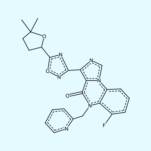 CC1(C)CCC(c2nc(-c3ncn4c3c(=O)n(Cc3ccccn3)c3c(F)cccc34)no2)O1